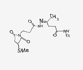 CCNC(=O)CC/C(C)=N\NC(=O)CCN1C(=O)CC(SC)C1=O